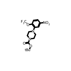 CC(C)(C)OC(=O)N1CCN(c2cc([N+](=O)[O-])ccc2OC(F)(F)F)CC1